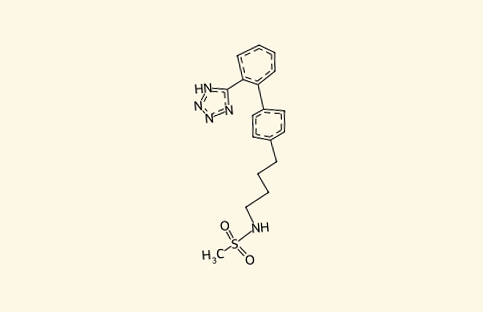 CS(=O)(=O)NCCCCc1ccc(-c2ccccc2-c2nnn[nH]2)cc1